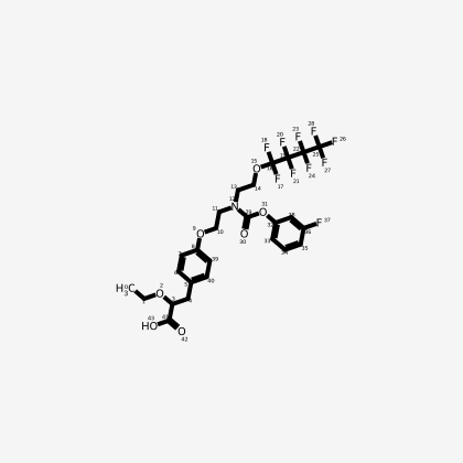 CCOC(Cc1ccc(OCCN(CCOC(F)(F)C(F)(F)C(F)(F)C(F)(F)F)C(=O)Oc2cccc(F)c2)cc1)C(=O)O